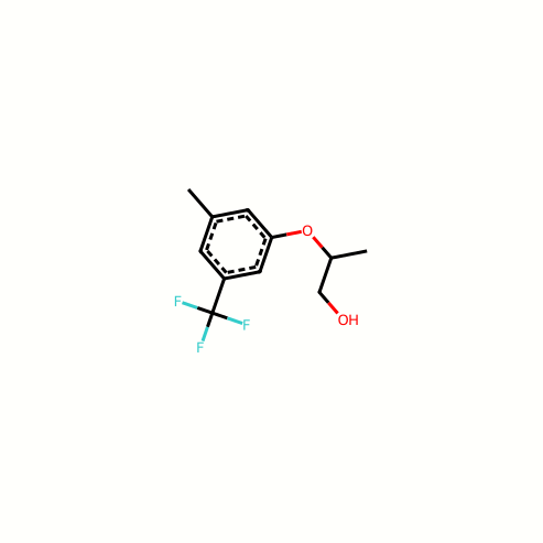 Cc1cc(OC(C)CO)cc(C(F)(F)F)c1